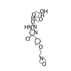 O[C@@H]1CO[C@H]2[C@@H]1OC[C@H]2Oc1nc2nc(-c3ccc(OCCCN4CCOCC4)cc3)c(Cl)cc2[nH]1